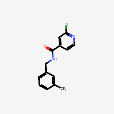 O=C(NCc1cccc(C(F)(F)F)c1)c1ccnc(Cl)c1